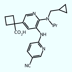 CC(C)N(CC1CC1)c1ncc(C2(C(=O)O)CCC2)cc1Nc1ccc(C#N)cn1